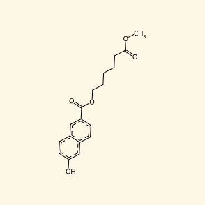 COC(=O)CCCCCOC(=O)c1ccc2cc(O)ccc2c1